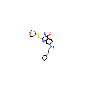 O=c1[nH]c(CSC2CCOCC2)nc2cc(NCCC3CCCC3)ccc12